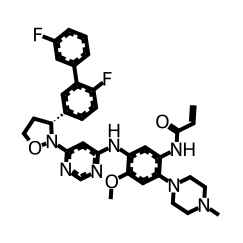 C=CC(=O)Nc1cc(Nc2cc(N3OCC[C@@H]3c3ccc(F)c(-c4cccc(F)c4)c3)ncn2)c(OC)cc1N1CCN(C)CC1